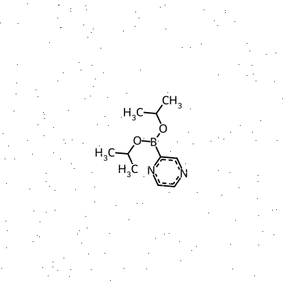 CC(C)OB(OC(C)C)c1cnccn1